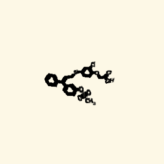 CS(=O)(=O)Oc1cccc(/C(=C\CSc2ccc(OCC(=O)O)c(Cl)c2)c2ccccc2)c1